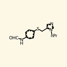 CCCn1cncc1CSc1ccc(NC=O)cc1